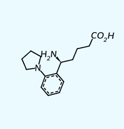 N[C@@H](CCCC(=O)O)c1ccccc1N1CCCC1